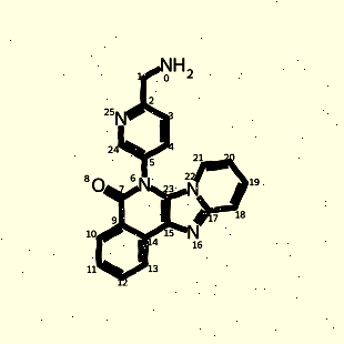 NCc1ccc(-n2c(=O)c3ccccc3c3nc4ccccn4c32)cn1